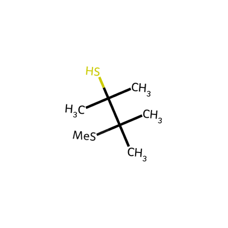 CSC(C)(C)C(C)(C)S